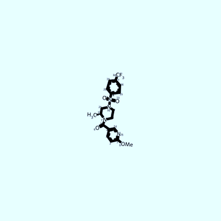 COc1ccc(C(=O)N2CCN(S(=O)(=O)c3ccc(C(F)(F)F)cc3)C[C@@H]2C)cn1